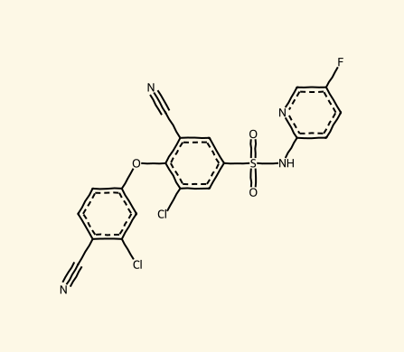 N#Cc1ccc(Oc2c(Cl)cc(S(=O)(=O)Nc3ccc(F)cn3)cc2C#N)cc1Cl